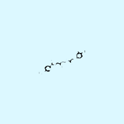 Cc1ccc(C(=O)NCC(O)CCNC(=O)COc2ccc(Cl)c(F)c2)nc1